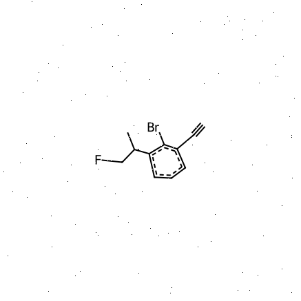 C#Cc1cccc([C](C)CF)c1Br